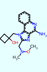 CON(C)Cc1nc2c(N)nc3ccccc3c2n1CC1(O)CCC1